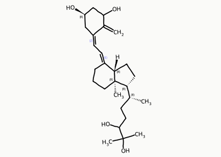 C=C1/C(=C\C=C2/CCC[C@]3(C)[C@@H]([C@H](C)CCC(O)C(C)(C)O)CC[C@@H]23)C[C@@H](O)CC1O